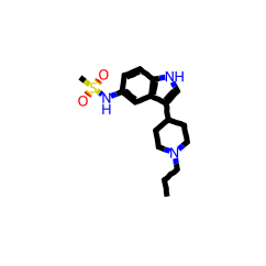 CCCN1CCC(c2c[nH]c3ccc(NS(C)(=O)=O)cc23)CC1